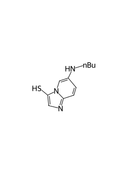 CCCCNc1ccc2ncc(S)n2c1